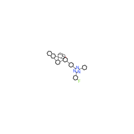 Fc1cccc(-c2nc(-c3ccccc3)nc(-c3ccc(-c4cccc(-c5cccc6c5C5(c7cc8ccccc8cc7-6)C6CC7CC(C6)CC5C7)c4)cc3)n2)c1